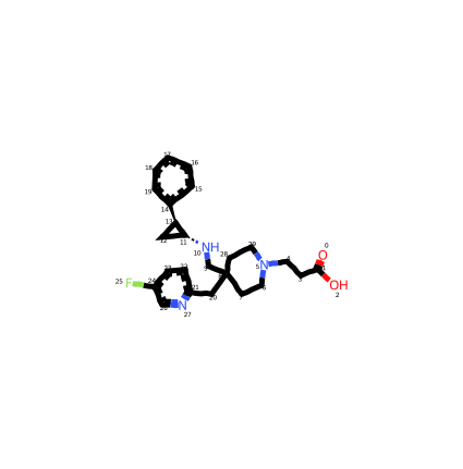 O=C(O)CCN1CCC(CN[C@@H]2C[C@H]2c2ccccc2)(Cc2ccc(F)cn2)CC1